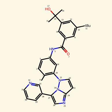 Cc1ccc(NC(=O)c2cc(C(C)(C)C)cc(C(C)(C)O)c2)cc1-n1ccc2ncc(-c3cccnc3)n21